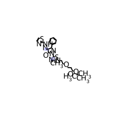 C/N=C(\SNCCOCCC(=O)OC(C)(C)C)N1N=C(c2ccccc2)/C(=N\Nc2nccs2)C1=O